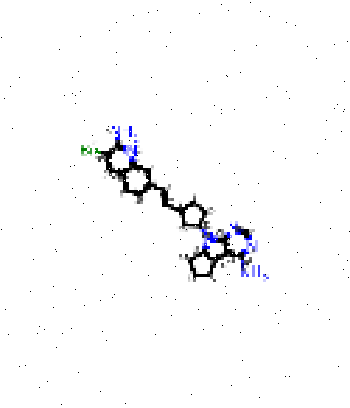 Nc1nc2cc(/C=C/C3CCC(n4c5c(c6c(N)ncnc64)CCC5)C3)ccc2cc1Br